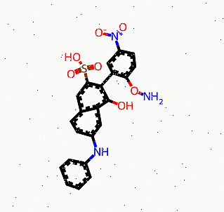 NOc1ccc([N+](=O)[O-])cc1-c1c(S(=O)(=O)O)cc2ccc(Nc3ccccc3)cc2c1O